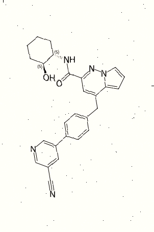 N#Cc1cncc(-c2ccc(Cc3cc(C(=O)N[C@H]4CCCC[C@@H]4O)nn4cccc34)cc2)c1